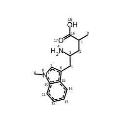 CC(CC(N)Cc1cn(C)c2ccccc12)C(=O)O